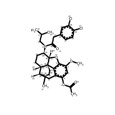 COc1cc(OC(C)=O)c2c3c1O[C@H]1[C@H](N(CC(C)C)C(=O)Cc4ccc(Cl)c(Cl)c4)CC[C@H]4[C@@H](C2)N(C)CC[C@@]341